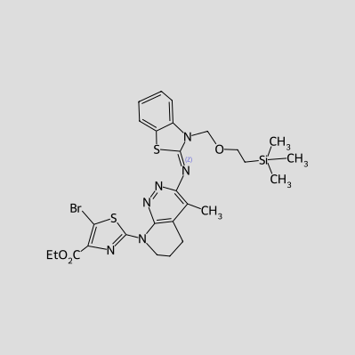 CCOC(=O)c1nc(N2CCCc3c2nnc(/N=c2\sc4ccccc4n2COCC[Si](C)(C)C)c3C)sc1Br